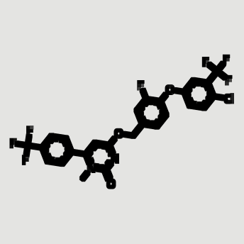 Cn1c(-c2ccc(C(F)(F)F)cc2)cc(OCc2ccc(Oc3ccc(Cl)c(C(F)(F)F)c3)c(F)c2)nc1=O